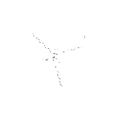 CCCCCCCCC(Cl)(CCCCCCCC)C(CCCCCCCC)(OC)OCC.P